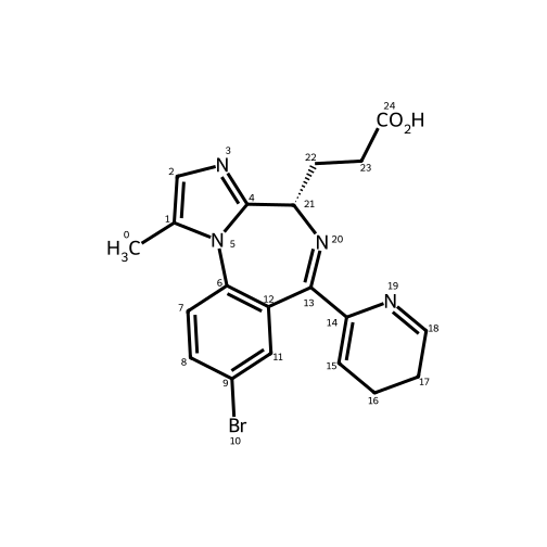 Cc1cnc2n1-c1ccc(Br)cc1C(C1=CCCC=N1)=N[C@H]2CCC(=O)O